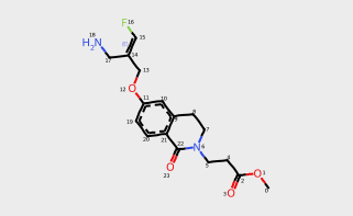 COC(=O)CCN1CCc2cc(OC/C(=C/F)CN)ccc2C1=O